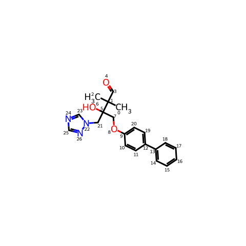 CC(C)(C=O)C(O)(COc1ccc(-c2ccccc2)cc1)Cn1cncn1